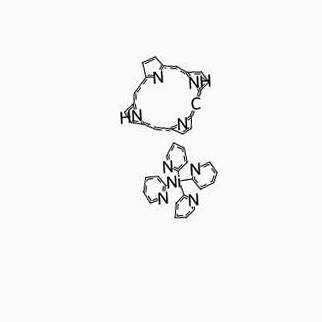 C1=Cc2cc3ccc(cc4nc(cc5ccc(cc1n2)[nH]5)C=C4)[nH]3.c1cc[c]([Ni]([c]2ccccn2)([c]2ccccn2)[c]2ccccn2)nc1